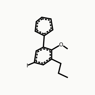 CCCc1cc(I)cc(-c2ccccc2)c1OC